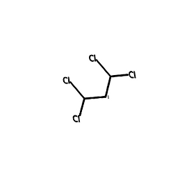 ClC(Cl)[C]C(Cl)Cl